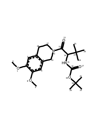 COc1cc2c(cc1OC)CN(C(=O)C(NC(=O)OC(C)(C)C)C(C)(C)C)CC2